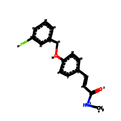 CNC(=O)/C=C/c1ccc(OCc2cccc(F)c2)cc1